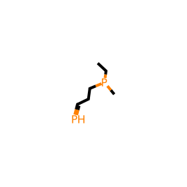 CCP(C)CCC=P